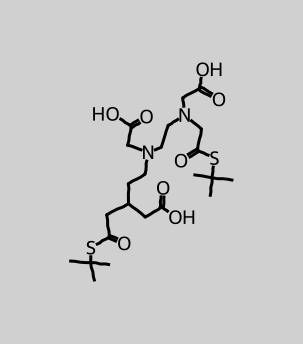 CC(C)(C)SC(=O)CC(CCN(CCN(CC(=O)O)CC(=O)SC(C)(C)C)CC(=O)O)CC(=O)O